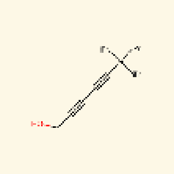 CC(C)[Si](C#CC#CCO)(C(C)C)C(C)C